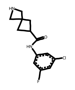 O=C(Nc1cc(F)cc(Cl)c1)C1CC2(CNC2)C1